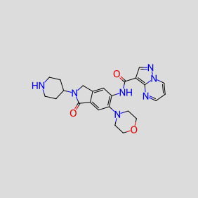 O=C(Nc1cc2c(cc1N1CCOCC1)C(=O)N(C1CCNCC1)C2)c1cnn2cccnc12